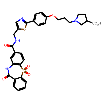 O=C(NCc1cnc(-c2ccc(OCCCN3CCC(C(=O)O)C3)cc2)s1)c1ccc2c(c1)NC(=O)c1ccccc1S2(=O)=O